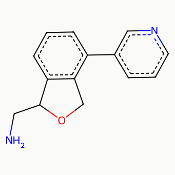 NCC1OCc2c(-c3cccnc3)cccc21